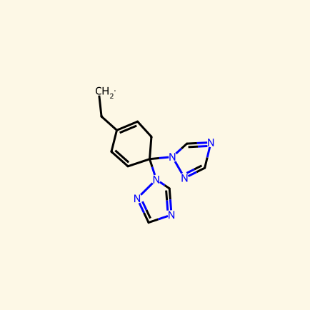 [CH2]CC1=CCC(n2cncn2)(n2cncn2)C=C1